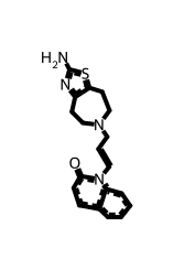 Nc1nc2c(s1)CCN(CC=Cn1c(=O)ccc3ccccc31)CC2